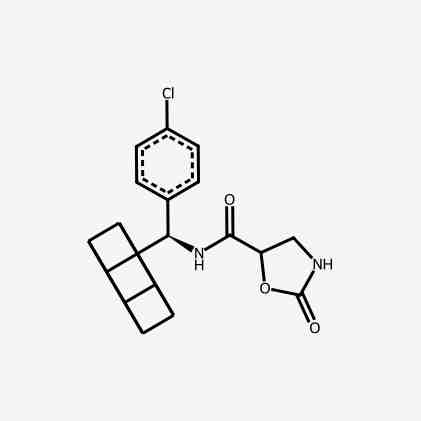 O=C1NCC(C(=O)N[C@H](c2ccc(Cl)cc2)C23C4C5C6C4C2C6C53)O1